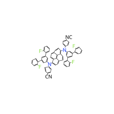 [C-]#[N+]c1ccc(N(c2cc(-c3ccccc3F)cc(-c3ccccc3F)c2)c2ccc3ccc4c(N(c5ccc(C#N)cc5)c5cc(-c6ccccc6F)cc(-c6ccccc6F)c5)ccc5ccc2c3c54)cc1